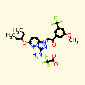 CCC(CC)Oc1ccc2n(n1)c(N)n[n+]2CC(=O)c1cc(OC)cc(C(F)(F)F)c1.O=C([O-])C(F)(F)F